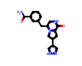 NC(=O)c1cccc(Cc2c[nH]c(=O)c3cc(-c4cn[nH]c4)cn23)c1